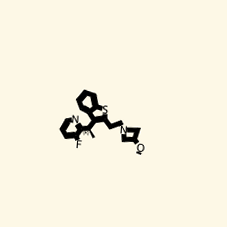 COC1CN(CCc2sc3ccccc3c2[C@@H](C)c2ncccc2F)C1